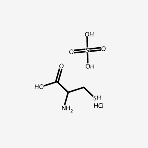 Cl.NC(CS)C(=O)O.O=S(=O)(O)O